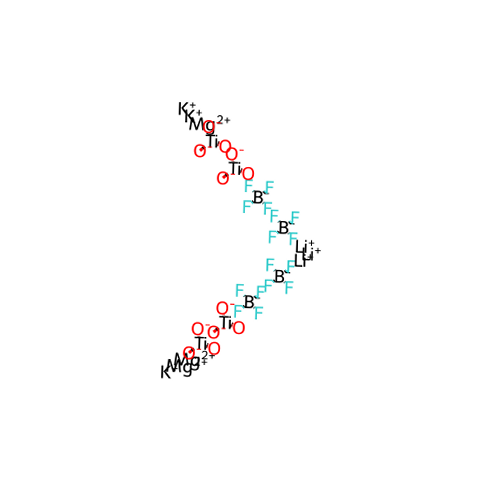 F[B-](F)(F)F.F[B-](F)(F)F.F[B-](F)(F)F.F[B-](F)(F)F.[K+].[K+].[K+].[Li+].[Li+].[Li+].[Mg+2].[Mg+2].[Mg+2].[O]=[Ti]([O-])[O-].[O]=[Ti]([O-])[O-].[O]=[Ti]([O-])[O-].[O]=[Ti]([O-])[O-]